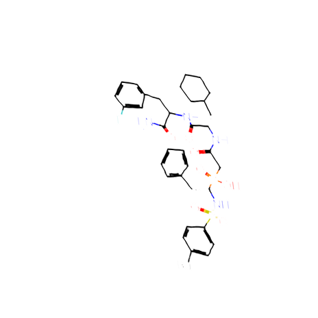 CC(C)(C)c1ccc(S(=O)(=O)N[C@H](Cc2ccccc2)P(=O)(O)CC(=O)N[C@@H](CC2CCCCC2)C(=O)NC(Cc2cccc(F)c2)C(N)=O)cc1